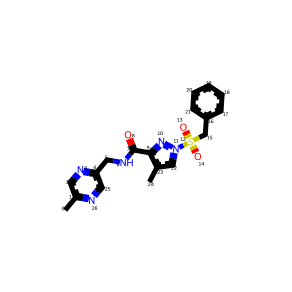 Cc1cnc(CNC(=O)c2nn(S(=O)(=O)Cc3ccccc3)cc2C)cn1